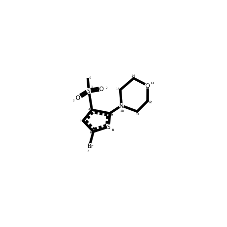 CS(=O)(=O)c1cc(Br)sc1N1CCOCC1